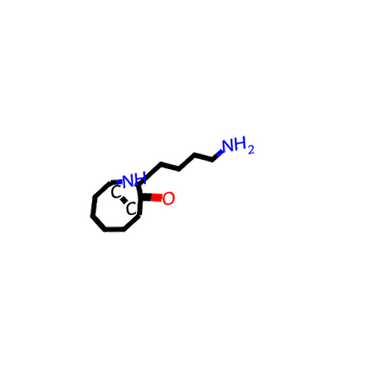 NCCCCC1NC2CCCCC(CC2)C1=O